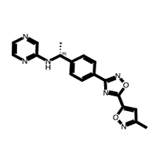 Cc1cc(-c2nc(-c3ccc([C@@H](C)Nc4cnccn4)cc3)no2)on1